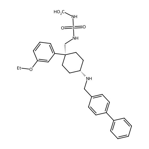 CCOc1cccc([C@]2(CNS(=O)(=O)NC(=O)O)CC[C@@H](NCc3ccc(-c4ccccc4)cc3)CC2)c1